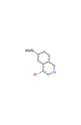 CNc1ccc2cncc(Br)c2c1